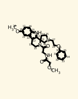 COCC(=O)NCC(=O)N1CCc2c([nH]c3ccc(OC)cc23)C12CCN(CCOc1ccccc1)C2